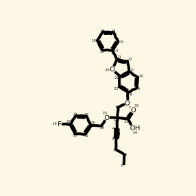 CCCC#CC(COc1ccc2cc(-c3ccccc3)oc2c1)(OCc1ccc(F)cc1)C(=O)O